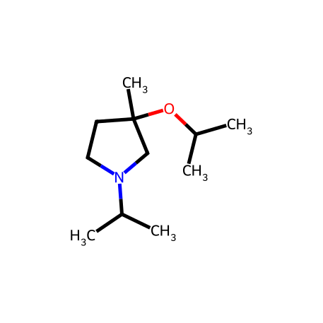 CC(C)OC1(C)CCN(C(C)C)C1